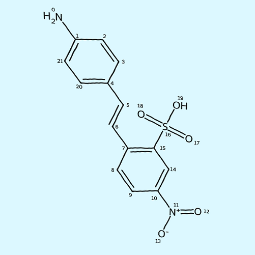 Nc1ccc(/C=C/c2ccc([N+](=O)[O-])cc2S(=O)(=O)O)cc1